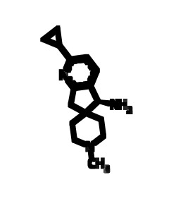 CN1CCC2(CC1)Cc1nc(C3CC3)ccc1[C@H]2N